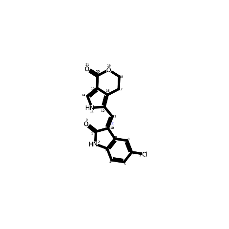 O=C1Nc2ccc(Cl)cc2/C1=C/c1[nH]cc2c1CCOC2=O